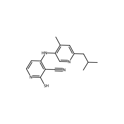 Cc1cc(CC(C)C)ncc1Nc1ccnc(S)c1C#N